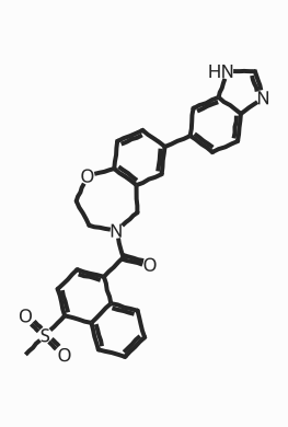 CS(=O)(=O)c1ccc(C(=O)N2CCOc3ccc(-c4ccc5nc[nH]c5c4)cc3C2)c2ccccc12